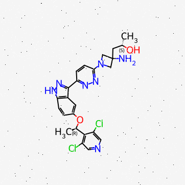 C[C@H](O)CC1(N)CN(c2ccc(-c3n[nH]c4ccc(O[C@H](C)c5c(Cl)cncc5Cl)cc34)nn2)C1